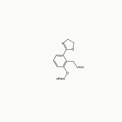 C=CCc1c(OCCCCC)cccc1C1=NCCO1